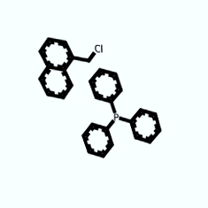 ClCc1cccc2ccccc12.c1ccc(P(c2ccccc2)c2ccccc2)cc1